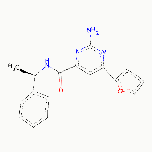 C[C@@H](NC(=O)c1cc(-c2ccco2)nc(N)n1)c1ccccc1